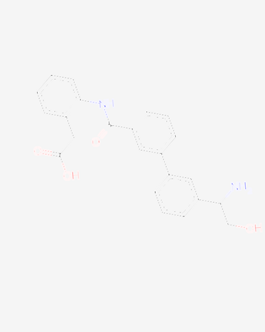 NC(CO)c1cccc(-c2cccc(C(=O)Nc3ccccc3CC(=O)O)c2)c1